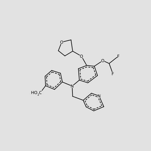 O=C(O)c1cccc(N(Cc2cccnc2)c2ccc(OC(F)F)c(OC3CCOC3)c2)c1